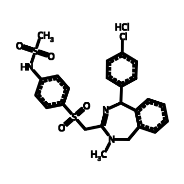 CN1Cc2ccccc2C(c2ccc(Cl)cc2)N=C1CS(=O)(=O)c1ccc(NS(C)(=O)=O)cc1.Cl